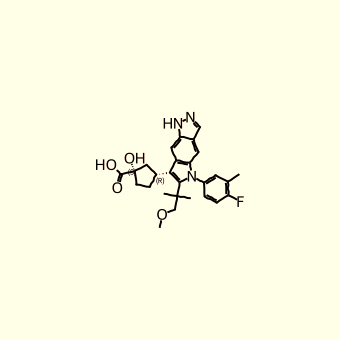 COCC(C)(C)c1c([C@@H]2CC[C@@](O)(C(=O)O)C2)c2cc3[nH]ncc3cc2n1-c1ccc(F)c(C)c1